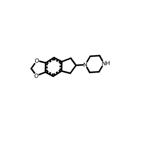 c1c2c(cc3c1OCO3)CC(N1CCNCC1)C2